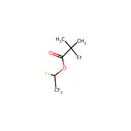 CCC(C)(C)C(=O)OC(F)C(F)(F)F